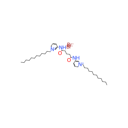 CCCCCCCCCCCC[n+]1cccc(NC(=O)CCCC(=O)Nc2ccc[n+](CCCCCCCCCCCC)c2)c1.[Br-].[Br-]